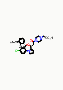 COc1cccc([C@@H]2O[C@@H](CC(=O)N3CCN(CC(=O)O)CC3)c3cccn3-c3ccc(Cl)cc32)c1OC